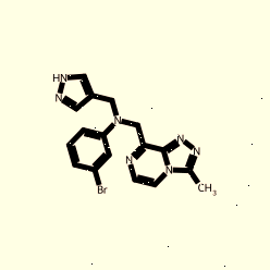 Cc1nnc2c(CN(Cc3cn[nH]c3)c3cccc(Br)c3)nccn12